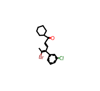 CC(Br)=C(C=CC(=O)C1CCCCC1)c1cccc(Cl)c1